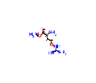 N=C(N)NOCC[C@H](N)C(=O)ON